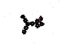 c1ccc(-c2ccc(-c3cc(-c4ccc(-n5c6ccccc6c6c5ccc5c7ccccc7n(-c7ccccc7)c56)cc4)nc(-c4ccc(-c5ccccc5)cc4)n3)cc2)cc1